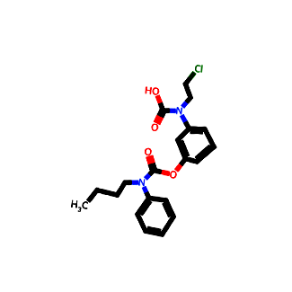 CCCCN(C(=O)Oc1cccc(N(CCCl)C(=O)O)c1)c1ccccc1